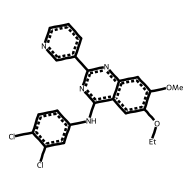 CCOc1cc2c(Nc3ccc(Cl)c(Cl)c3)nc(-c3cccnc3)nc2cc1OC